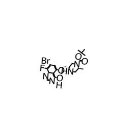 C[C@H]1CN[C@H](COc2cc(Br)c(F)c3ncnc(O)c23)CN1C(=O)OC(C)(C)C